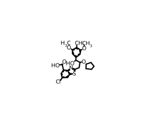 COc1cc(C(O)C(Cc2nc3c(C(=O)O)cc(Cl)cc3s2)OC2CCCC2)cc(OC)c1C